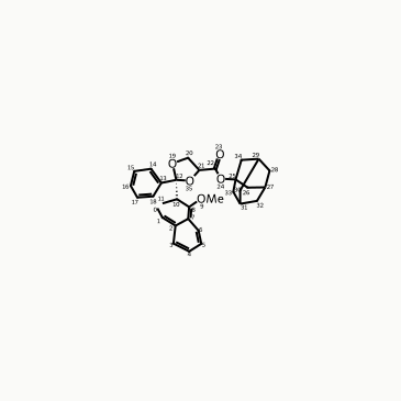 C/C=c1/cccc/c1=C(\OC)C(C)[C@]1(c2ccccc2)OCC(C(=O)OC23CC4CC(CC(C4)C2)C3)O1